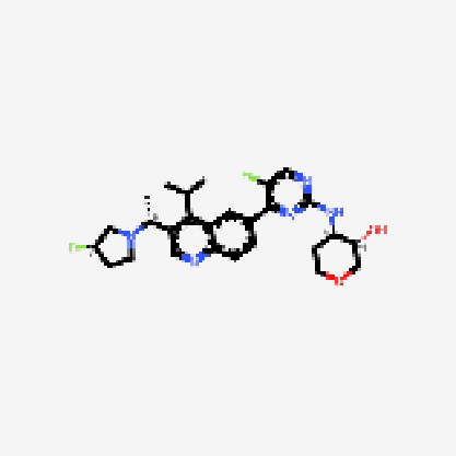 CC(C)c1c([C@@H](C)N2CC[C@@H](F)C2)cnc2ccc(-c3nc(N[C@@H]4CCOC[C@H]4O)ncc3F)cc12